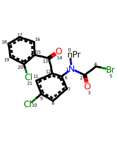 CCCN(C(=O)CBr)c1ccc(Cl)cc1C(=O)c1ccccc1Cl